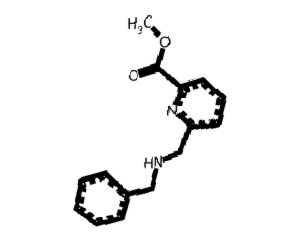 COC(=O)c1cccc(CNCc2ccccc2)n1